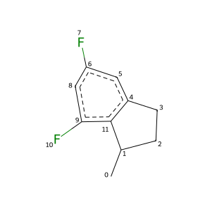 CC1CCc2cc(F)cc(F)c21